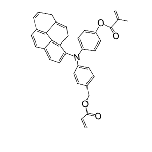 C=CC(=O)OCc1ccc(N(c2ccc(OC(=O)C(=C)C)cc2)c2ccc3ccc4c5c3c2CC=C5CC=C4)cc1